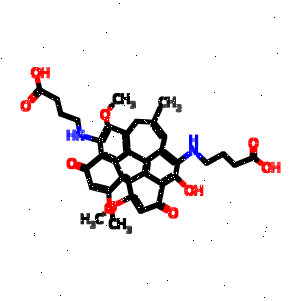 COc1c(NCCCC(=O)O)c2c(=O)cc(OC)c3c4c(OC)cc(=O)c5c(O)c(NCCCC(=O)O)c6c(c(c1CC(C)=C6)c23)c54